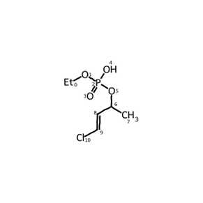 CCOP(=O)(O)OC(C)C=CCl